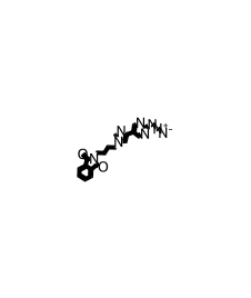 [N-]=[N+]=Nc1ncc(-c2cn(CCCCN3C(=O)c4ccccc4C3=O)cn2)cn1